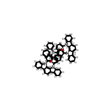 c1ccc(B(c2ccc(-n3c4ccccc4c4ccc5c6ccccc6n(-c6cccc(-c7ccccc7)n6)c5c43)cc2)c2ccc(-n3c4ccccc4c4ccc5c6ccccc6n(-c6cccc(-c7ccccc7)n6)c5c43)cc2)cc1